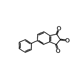 O=c1c(=O)c2ccc(-c3ccccc3)cc2c1=O